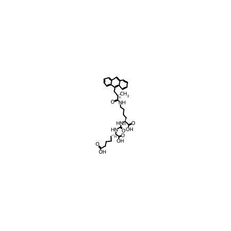 C[C@@H](Cc1c2ccccc2cc2ccccc12)C(=O)NCCCC[C@H](NC(=O)N[C@@H](CCCCC(=O)O)C(=O)O)C(=O)O